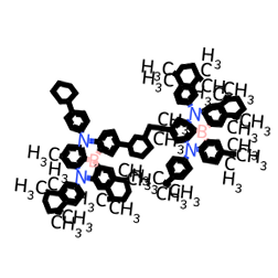 Cc1cc2c3c(c1)N(c1ccc4c(c1)C(C)(C)CCC4(C)C)c1cc4c(cc1B3c1cc(C3CCCC(CC(C)(C)c5cc6c7c(c5)N(c5ccc8c(c5)C(C)(C)CCC8(C)C)c5cc8c(cc5B7c5cc(C(C)(C)C)ccc5N6c5ccc(C(C)(C)C)cc5)C(C)(C)CCC8(C)C)C3)ccc1N2c1ccc(C2CCCCC2)cc1)C(C)(C)CCC4(C)C